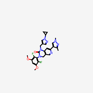 COc1cc(OC)c(F)c(N2Cc3cnc(-c4cn(C)nc4C)cc3N(Cc3cnn(C4CC4)c3)C2=O)c1F